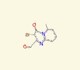 Cc1cccc2nc(C=O)c(Br)c(=O)n12